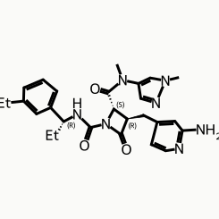 CCc1cccc([C@@H](CC)NC(=O)N2C(=O)[C@H](Cc3ccnc(N)c3)[C@H]2C(=O)N(C)c2cnn(C)c2)c1